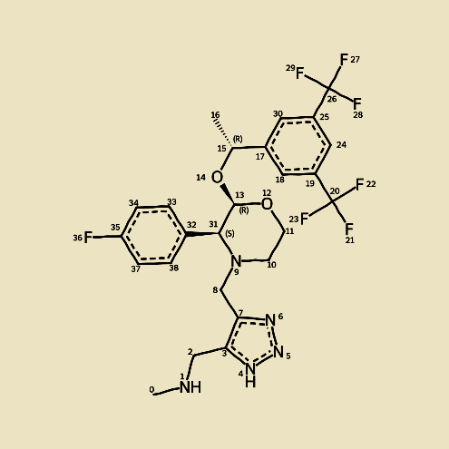 CNCc1[nH]nnc1CN1CCO[C@H](O[C@H](C)c2cc(C(F)(F)F)cc(C(F)(F)F)c2)[C@@H]1c1ccc(F)cc1